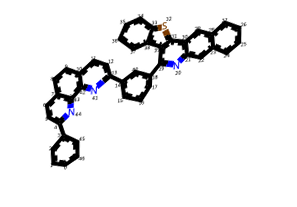 c1ccc(-c2ccc3ccc4ccc(-c5cccc(-c6nc7cc8ccccc8cc7c7sc8ccccc8c67)c5)nc4c3n2)cc1